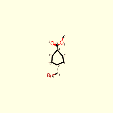 COC(=O)[C@H]1CC[C@H](CBr)CC1